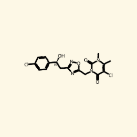 Cc1c(Cl)c(=O)n(Cc2nc(C[C@H](O)c3ccc(Cl)cc3)no2)c(=O)n1C